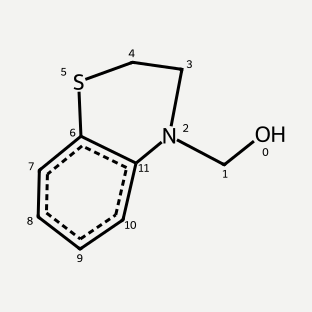 OCN1CCSc2ccccc21